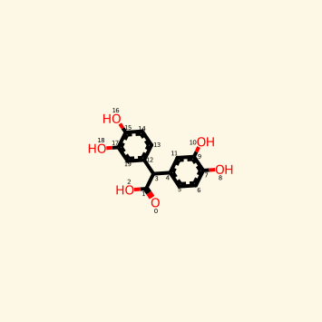 O=C(O)C(c1ccc(O)c(O)c1)c1ccc(O)c(O)c1